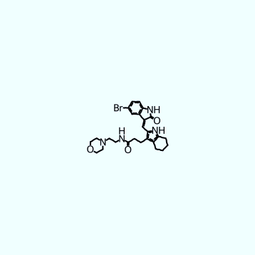 O=C(CCc1c(C=C2C(=O)Nc3ccc(Br)cc32)[nH]c2c1CCCC2)NCCN1CCOCC1